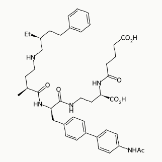 CC[C@@H](CCc1ccccc1)CNCC[C@H](C)C(=O)N[C@H](Cc1ccc(-c2ccc(NC(C)=O)cc2)cc1)C(=O)NCC[C@@H](NC(=O)CCCC(=O)O)C(=O)O